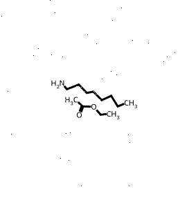 CCCCCCCCN.CCOC(C)=O